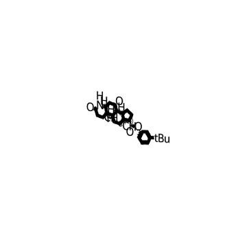 CC(C)(C)c1cccc(OC(=O)[C@H]2CC[C@H]3[C@@H]4C(=O)C[C@H]5NC(=O)CC[C@]5(C)[C@H]4CC[C@]23C)c1